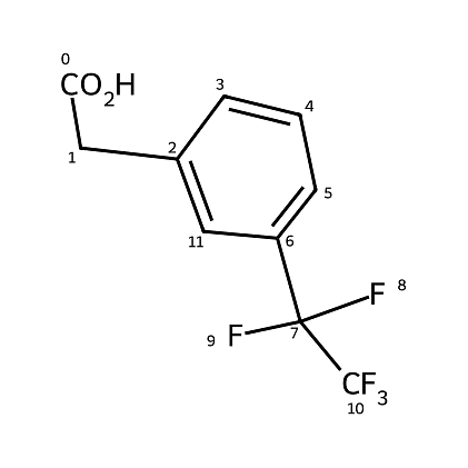 O=C(O)Cc1cccc(C(F)(F)C(F)(F)F)c1